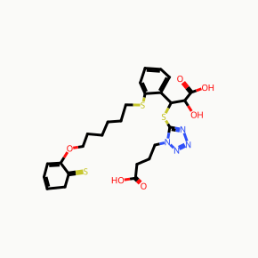 O=C(O)CCCn1nnnc1SC(c1ccccc1SCCCCCCOC1=CC=CCC1=S)C(O)C(=O)O